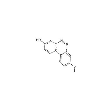 COc1ccc2c(c1)nnc1cc(O)ccc12